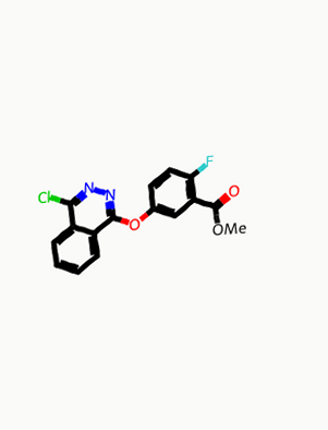 COC(=O)c1cc(Oc2nnc(Cl)c3ccccc23)ccc1F